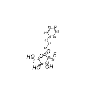 OCC1O[C@H](OCCCc2ccccc2)/C(=C\F)C(O)[C@@H]1O